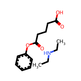 CCNCC.O=C(O)CCCC(=O)Oc1ccccc1